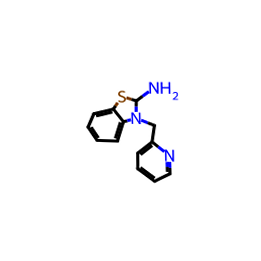 NC1Sc2ccccc2N1Cc1ccccn1